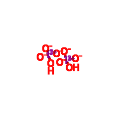 [O-][I+3]([O-])([O-])O.[O-][I+3]([O-])([O-])O